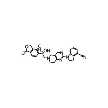 Cc1c(C(O)CN2CCc3nc(N4CCc5c(C#N)cccc54)ncc3C2)ccc2c1COC2=O